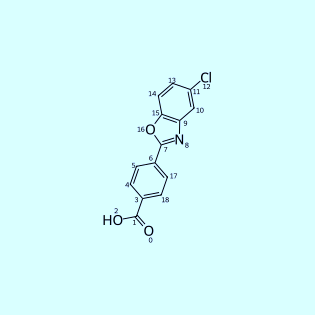 O=C(O)c1ccc(-c2nc3cc(Cl)ccc3o2)cc1